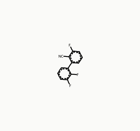 N#Cc1c(F)cccc1-c1cccc(F)c1F